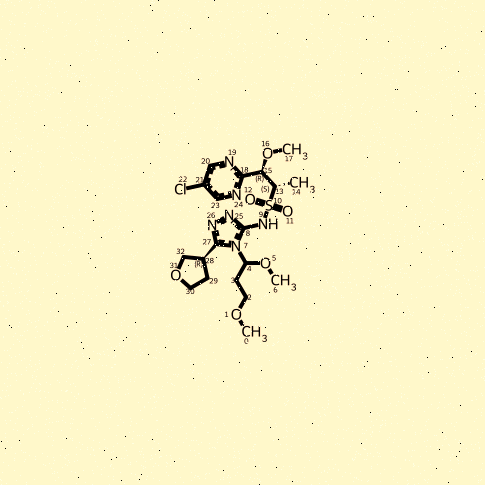 COCCC(OC)n1c(NS(=O)(=O)[C@@H](C)[C@H](OC)c2ncc(Cl)cn2)nnc1[C@H]1CCOC1